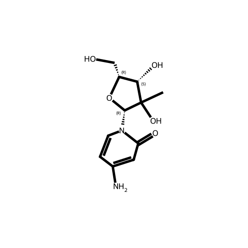 CC1(O)[C@@H](O)[C@@H](CO)O[C@H]1n1ccc(N)cc1=O